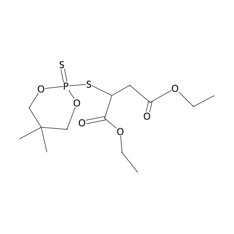 CCOC(=O)CC(SP1(=S)OCC(C)(C)CO1)C(=O)OCC